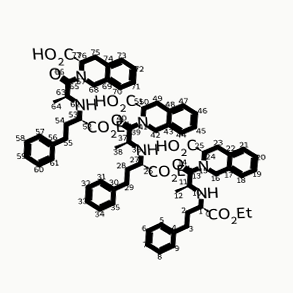 CCOC(=O)[C@H](CCc1ccccc1)N[C@@H](C)C(=O)N1Cc2ccccc2C[C@H]1C(=O)O.CCOC(=O)[C@H](CCc1ccccc1)N[C@@H](C)C(=O)N1Cc2ccccc2C[C@H]1C(=O)O.CCOC(=O)[C@H](CCc1ccccc1)N[C@@H](C)C(=O)N1Cc2ccccc2C[C@H]1C(=O)O